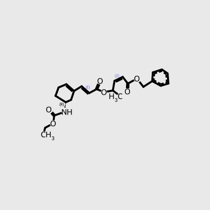 CCOC(=O)N[C@@H]1CCC=C(/C=C/C(=O)OC(C)/C=C\C(=O)OCc2ccccc2)C1